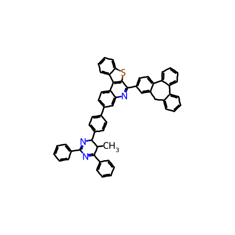 CC1C(c2ccccc2)=NC(c2ccccc2)=NC1c1ccc(-c2ccc3c(c2)nc(-c2ccc4c(c2)Cc2ccccc2-c2ccccc2-4)c2sc4ccccc4c23)cc1